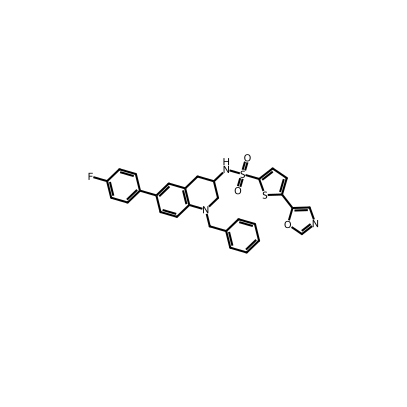 O=S(=O)(NC1Cc2cc(-c3ccc(F)cc3)ccc2N(Cc2ccccc2)C1)c1ccc(-c2cnco2)s1